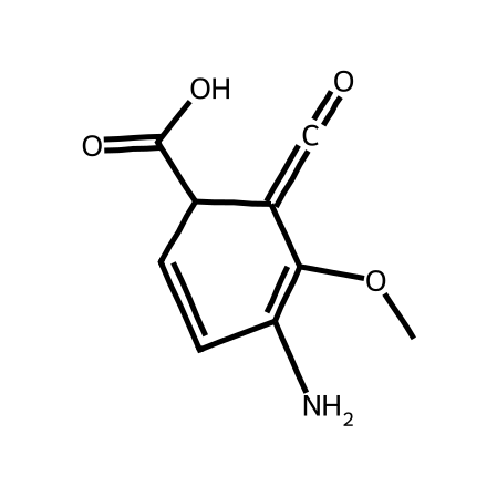 COC1=C(N)C=CC(C(=O)O)C1=C=O